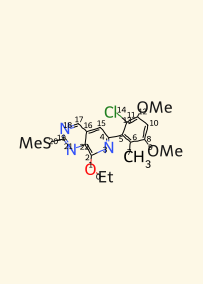 CCOc1nc(-c2c(C)c(OC)cc(OC)c2Cl)cc2cnc(SC)nc12